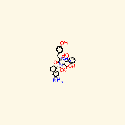 N[C@H]1CC[C@@]2(CCC[C@@H]2C(=O)N(C(=O)[C@H](N)Cc2ccc(O)cc2)[C@H](Cc2ccccc2O)C(=O)O)C1